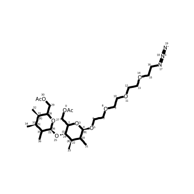 CC(=O)OCC1O[C@@H](OCCOCCOCCOCCN=[N+]=[N-])C(C)[C@@H](C)[C@@H]1O[C@@H]1OC(COC(C)=O)[C@H](C)[C@H](C)C1C